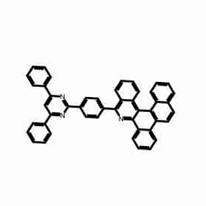 c1ccc(-c2cc(-c3ccccc3)nc(-c3ccc(-c4nc5c6ccccc6c6ccc7ccccc7c6c5c5ccccc45)cc3)n2)cc1